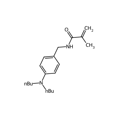 C=C(C)C(=O)NCc1ccc(N(CCCC)CCCC)cc1